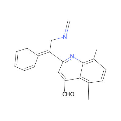 C=NC/C(=C1/C=CC=CC1)c1cc(C=O)c2c(C)ccc(C)c2n1